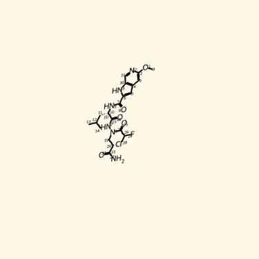 COc1cc2cc(C(=O)N[C@@H](CC(C)C)C(=O)NN(CCC(N)=O)C(=O)C(F)Cl)[nH]c2cn1